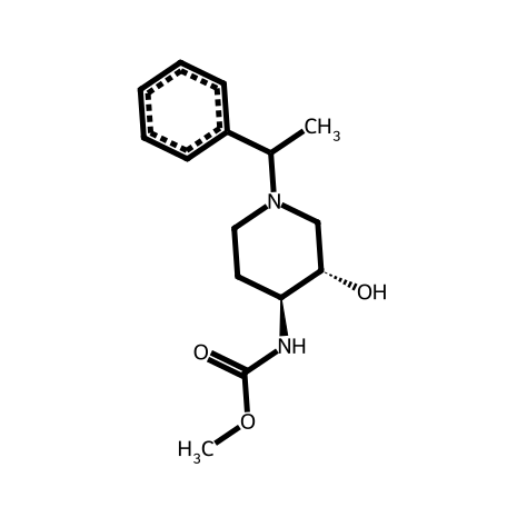 COC(=O)N[C@H]1CCN(C(C)c2ccccc2)C[C@@H]1O